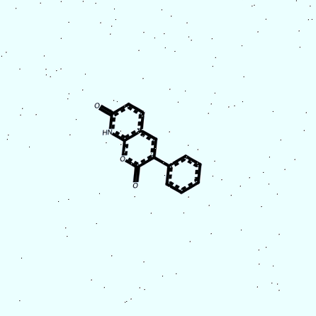 O=c1ccc2cc(-c3ccccc3)c(=O)oc2[nH]1